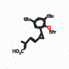 CCCOc1c(C2CC2C=CC(C)=CC(=O)O)cc(C(C)(C)C)cc1C(C)(C)C